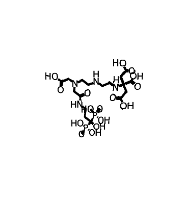 O=C(O)CN(CCNCCNC(CC(=O)O)(CC(=O)O)C(=O)O)CC(=O)NCCC(O)(P(=O)(O)O)P(=O)(O)O